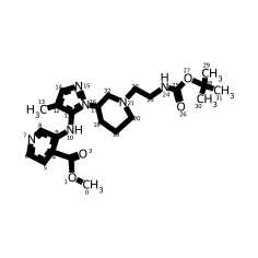 COC(=O)c1ccncc1Nc1c(C)cnn1C1CCCN(CCNC(=O)OC(C)(C)C)C1